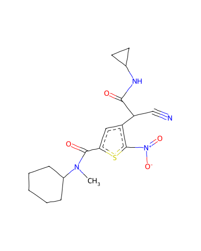 CN(C(=O)c1cc(C(C#N)C(=O)NC2CC2)c([N+](=O)[O-])s1)C1CCCCC1